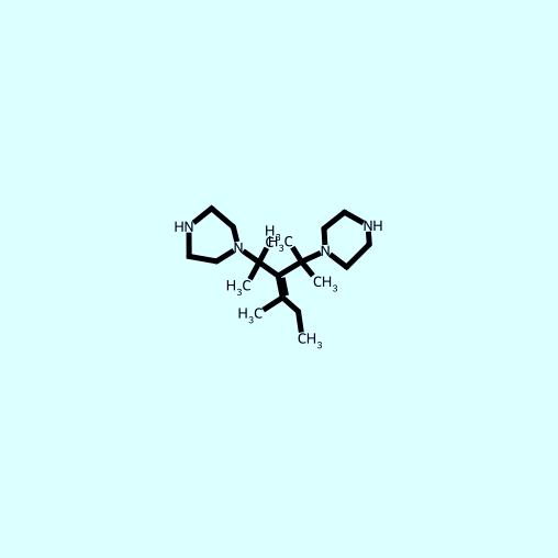 CCC(C)=C(C(C)(C)N1CCNCC1)C(C)(C)N1CCNCC1